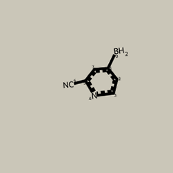 Bc1ccnc(C#N)c1